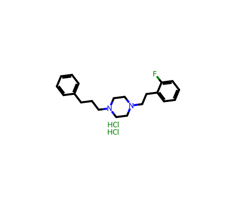 Cl.Cl.Fc1ccccc1CCN1CCN(CCCc2ccccc2)CC1